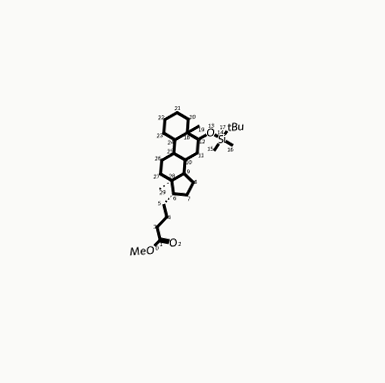 COC(=O)CCC[C@H]1CCC2C3CC(O[Si](C)(C)C(C)(C)C)C4(C)CCCCC4C3CC[C@@]21C